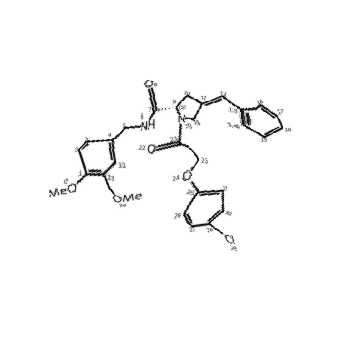 COc1ccc(CNC(=O)[C@@H]2CC(=Cc3ccccc3)CN2C(=O)COc2ccc(Cl)cc2)cc1OC